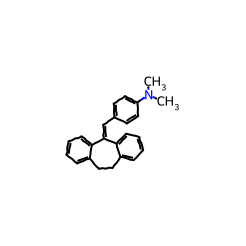 CN(C)c1ccc(C=C2c3ccccc3CCc3ccccc32)cc1